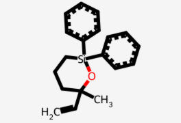 C=CC1(C)CCC[Si](c2ccccc2)(c2ccccc2)O1